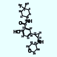 Cl.O=C(NC1CCC(F)(F)CC1)c1cccc(C2CC2NC2CCOCC2)c1